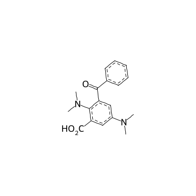 CN(C)c1cc(C(=O)O)c(N(C)C)c(C(=O)c2ccccc2)c1